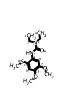 CCN(CC)C(=O)Nc1cc(OC)c(OC)cc1SC